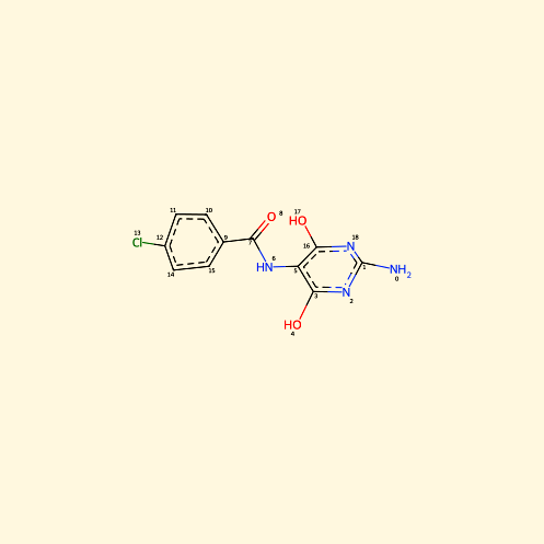 Nc1nc(O)c(NC(=O)c2ccc(Cl)cc2)c(O)n1